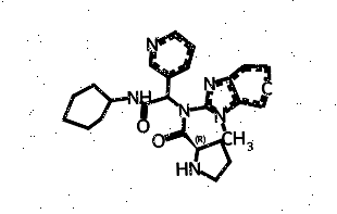 Cn1c(N(C(=O)[C@H]2CCCN2)C(C(=O)NC2CCCCC2)c2cccnc2)nc2ccccc21